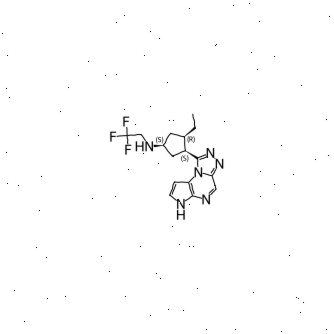 CC[C@@H]1C[C@H](NCC(F)(F)F)C[C@@H]1c1nnc2cnc3[nH]ccc3n12